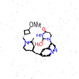 CO[C@H]1C[C@H](CN2CCC(Cc3ccn4ncc(N5CCC(=O)NC5O)c4c3)C[C@@H]2C)C1